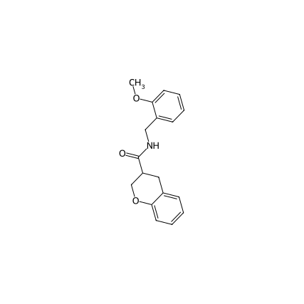 COc1ccccc1CNC(=O)C1COc2ccccc2C1